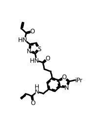 C=CC(=O)NCc1cc(CCC(=O)Nc2nc(NC(=O)C=C)cs2)c2oc(C(C)C)nc2c1